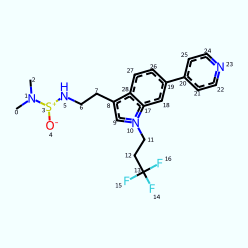 CN(C)[S+]([O-])NCCc1cn(CCC(F)(F)F)c2cc(-c3ccncc3)ccc12